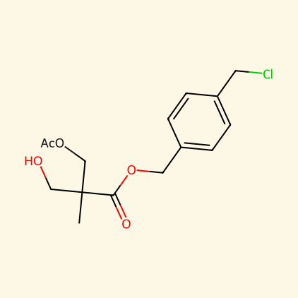 CC(=O)OCC(C)(CO)C(=O)OCc1ccc(CCl)cc1